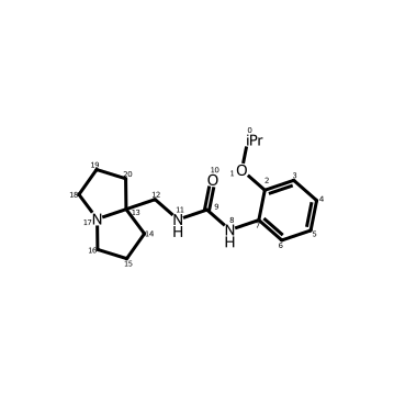 CC(C)Oc1ccccc1NC(=O)NCC12CCCN1CCC2